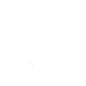 CCCN(CCOc1c(Cl)cc(Cl)cc1Cl)C(=O)n1ccnc1.COc1ccc(C(=O)c2ccccc2)c(O)c1